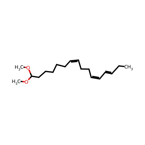 CC/C=C/C=C\CC/C=C\CCCCCC(OC)OC